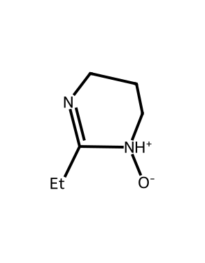 CCC1=NCCC[NH+]1[O-]